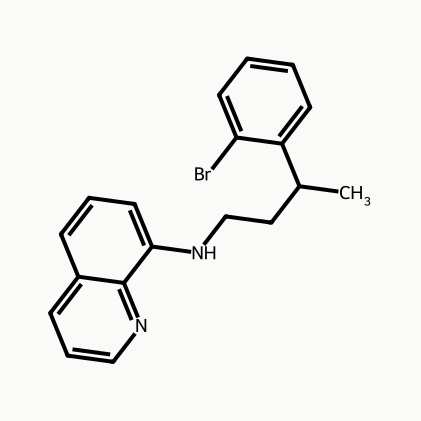 CC(CCNc1cccc2cccnc12)c1ccccc1Br